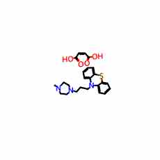 CN1CCN(CCCN2c3ccccc3Sc3ccccc32)CC1.O=C(O)/C=C\C(=O)O